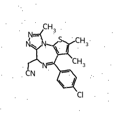 Cc1sc2c(c1C)C(c1ccc(Cl)cc1)=NC(CC#N)c1nnc(C)n1-2